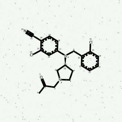 CC(=O)CN1CC[C@H](N(Cc2ccccc2Cl)c2ccc(C#N)c(Cl)c2)C1